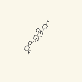 O=C1c2ccc(COc3cccc(F)c3)nc2CCN1c1ccc(F)cc1